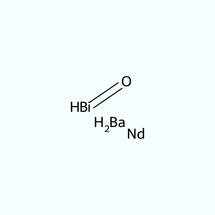 [BaH2].[Nd].[O]=[BiH]